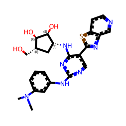 CN(C)c1cccc(Nc2ncc(-c3nc4cnccc4s3)c(N[C@@H]3C[C@H](CO)[C@@H](O)[C@H]3O)n2)c1